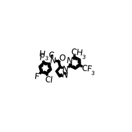 Cc1cc(C(F)(F)F)cc(N2N=CCC2C(=O)N(C)c2cc(Cl)c(F)cc2F)n1